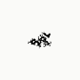 N#CC1(NC(=O)[C@H](CS(=O)(=O)CC(F)(F)F)N[C@@H](c2ccc(F)cc2)C(F)(F)F)CC1